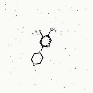 Nc1cnc(N2CCOCC2)cc1N